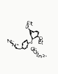 CCOc1ccc(OCC)c(Sc2ccc(C=[N+]=[N-])cc2)c1.[Cl-].[Cl-].[Zn+2]